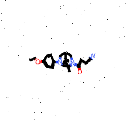 CCOc1ccc(N2CC3CN(C(=O)CCC#N)CC2C(C)(C)C3)cc1